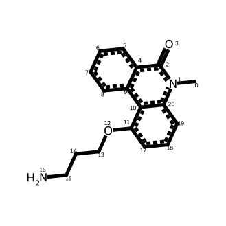 Cn1c(=O)c2ccccc2c2c(OCCCN)cccc21